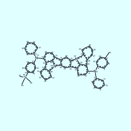 Cc1ccc(N(c2ccccc2)c2ccc3c4cc5c(cc4n4c6ccccc6c2c34)c2ccc(N(c3ccccc3)c3ccc([Si](C)(C)C)cc3)c3c4ccccc4n5c23)cc1